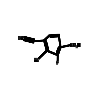 C#Cc1ccc(C(=O)O)c(F)c1CC